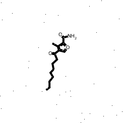 CCCCCCCCC(=O)c1coc(C(N)=O)c1C